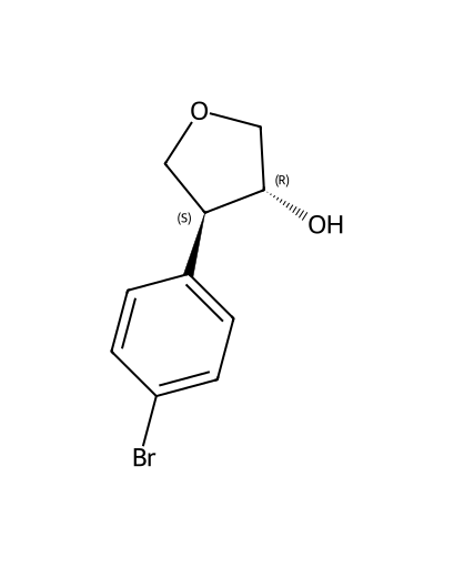 O[C@H]1COC[C@@H]1c1ccc(Br)cc1